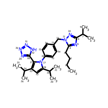 CCCCc1nc(C(C)C)nn1Cc1ccc(-n2c(C(C)C)cc(C(C)C)c2-c2nnn[nH]2)cc1